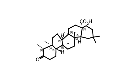 C[C@H]1C(=O)CC[C@@H]2[C@]1(C)CC[C@H]1[C@@]2(C)CC[C@@]2(C)[C@@H]3CC(C)(C)CC[C@]3(C(=O)O)CC[C@]12C